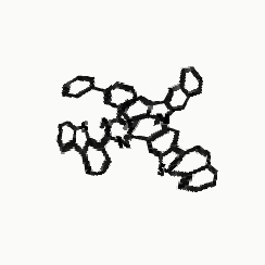 c1ccc(-c2cccc(-c3nc(-c4cc5sc6c7ccccc7ccc6c5cc4-n4c5ccccc5c5cc6ccccc6cc54)nc(-c4cccc5c4sc4ccccc45)n3)c2)cc1